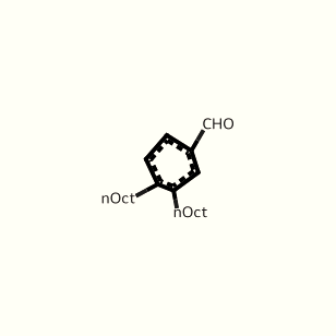 CCCCCCCCc1ccc(C=O)cc1CCCCCCCC